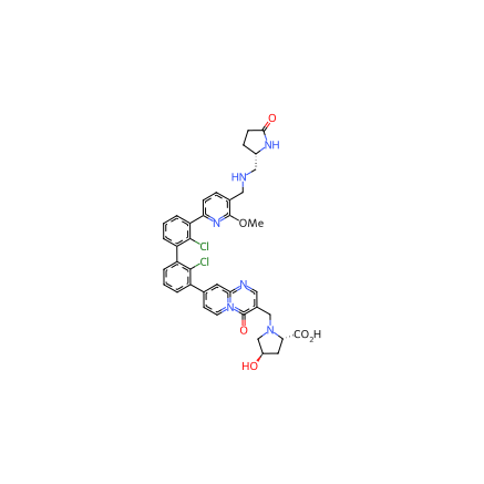 COc1nc(-c2cccc(-c3cccc(-c4ccn5c(=O)c(CN6C[C@H](O)C[C@H]6C(=O)O)cnc5c4)c3Cl)c2Cl)ccc1CNC[C@@H]1CCC(=O)N1